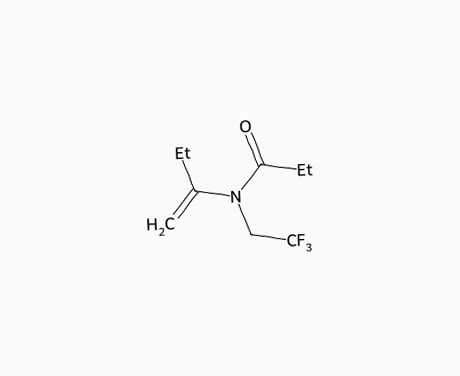 C=C(CC)N(CC(F)(F)F)C(=O)CC